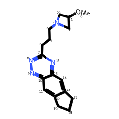 COC1CN(CCCc2nnc3cc4c(cc3n2)CCC4)C1